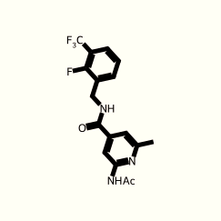 CC(=O)Nc1cc(C(=O)NCc2cccc(C(F)(F)F)c2F)cc(C)n1